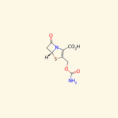 NC(=O)OCC1=C(C(=O)O)N2C(=O)C[C@H]2S1